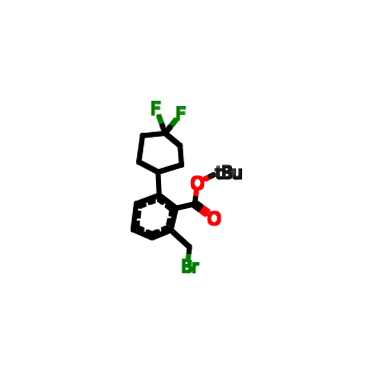 CC(C)(C)OC(=O)c1c(CBr)cccc1C1CCC(F)(F)CC1